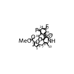 COC(=O)c1ccc(Cc2c(C)[nH]c(=O)c(Br)c2OCc2ccc(F)cc2F)o1